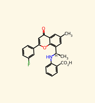 Cc1cc([C@@H](C)Nc2ccccc2C(=O)O)c2oc(-c3cccc(F)c3)cc(=O)c2c1